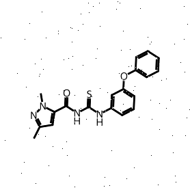 Cc1cc(C(=O)NC(=S)Nc2cccc(Oc3ccccc3)c2)n(C)n1